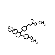 CCOC(=O)C=Cc1ccc(C2c3ccc(OC)cc3CCC2c2ccc(OC)cc2)cc1